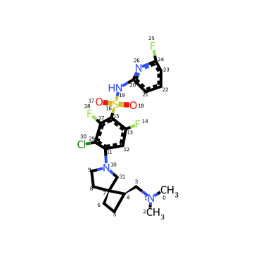 CN(C)C[C@H]1CC[C@]12CCN(c1cc(F)c(S(=O)(=O)Nc3cccc(F)n3)c(F)c1Cl)C2